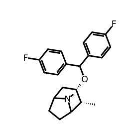 C[C@@H]1C2CCC(C[C@@H]1OC(c1ccc(F)cc1)c1ccc(F)cc1)N2C